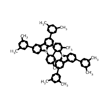 Cc1cc(C)cc(-c2ccc3c(c2)c2cc(-c4cc(C)cc(C)c4)ccc2n3-c2ccc(C#N)cc2-c2cccc(C(F)(F)F)c2-n2c3ccc(-c4cc(C)cc(C)c4)cc3c3cc(-c4cc(C)cc(C)c4)ccc32)c1